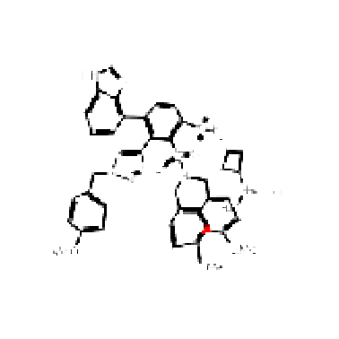 COc1ccc(CN(Cc2ccc(OC)cc2)S(=O)(=O)c2c(S(=O)(=O)N[C@H]3C[C@H](N(C(=O)O)C(C)(C)C)C3)ccc(-c3cccc4[nH]cnc34)c2-c2nnn(Cc3ccc(OC)cc3)n2)cc1